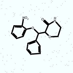 O=C1NCCOC1C(Oc1ccccc1[N+](=O)[O-])c1ccccc1